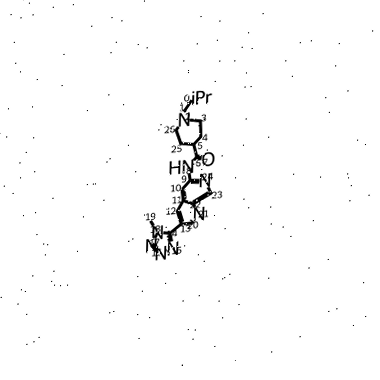 CC(C)CN1CCC(C(=O)Nc2cc3cc(-c4nnnn4C)cnc3cn2)CC1